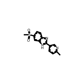 Cc1ccc(-c2nc3ccc(S(C)(=O)=O)cc3[nH]2)cn1